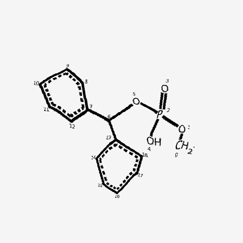 [CH2]OP(=O)(O)OC(c1ccccc1)c1ccccc1